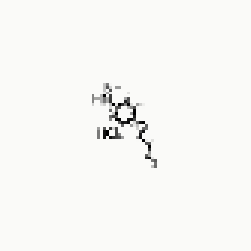 CCCCOc1ccc(NN)cc1.Cl